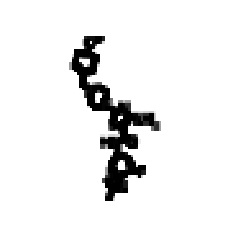 COc1ccc(CN2CCN(c3nc(N)c(C(=O)Nc4cc(F)c5nc(C)cn5c4)s3)CC2)cc1